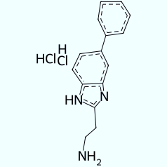 Cl.Cl.NCCc1nc2cc(-c3ccccc3)ccc2[nH]1